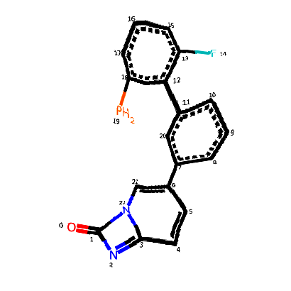 O=C1N=C2C=CC(c3cccc(-c4c(F)cccc4P)c3)=CN12